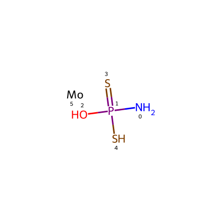 NP(O)(=S)S.[Mo]